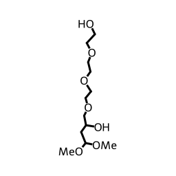 COC(CC(O)COCCOCCOCCO)OC